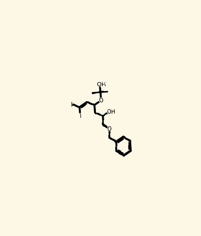 CC(C)(O)OC(C=C(I)I)CC(O)COCc1ccccc1